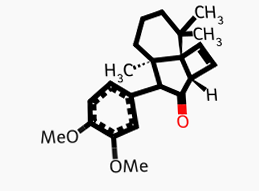 COc1ccc(C2C(=O)[C@H]3C=C[C@]34C(C)(C)CCC[C@]24C)cc1OC